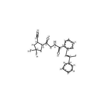 C/C(=C\c1cnccc1C(=O)NCC(=O)N1CC(F)(F)CC1C#N)c1ccccc1